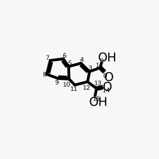 O=C(O)C1=Cc2ccccc2CC1C(=O)O